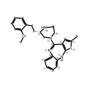 COc1ccccc1CC[C@H]1CN(C2=Nc3ccccc3Nc3sc(C)cc32)CCN1